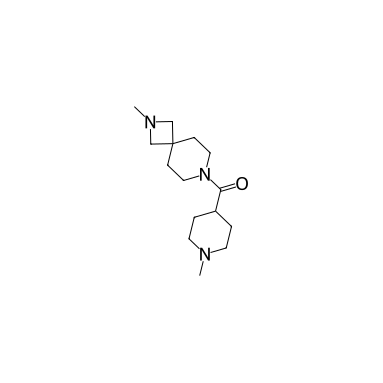 CN1CCC(C(=O)N2CCC3(CC2)CN(C)C3)CC1